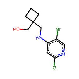 OCC1(CNc2cc(Cl)ncc2Br)CCC1